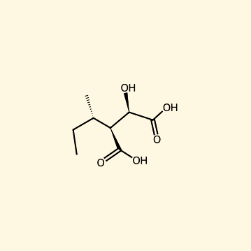 CC[C@H](C)[C@H](C(=O)O)[C@@H](O)C(=O)O